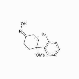 COC1(c2ccccc2Br)CCC(=NO)CC1